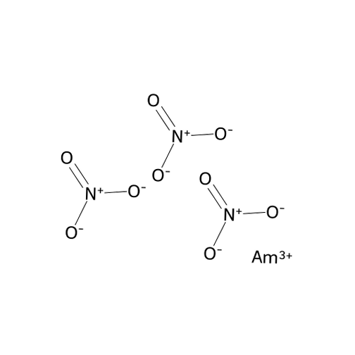 O=[N+]([O-])[O-].O=[N+]([O-])[O-].O=[N+]([O-])[O-].[Am+3]